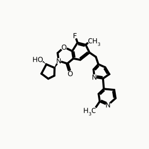 Cc1cc(-c2ccc(Cc3cc4c(c(F)c3C)OCN([C@H]3CCC[C@@H]3O)C4=O)cn2)ccn1